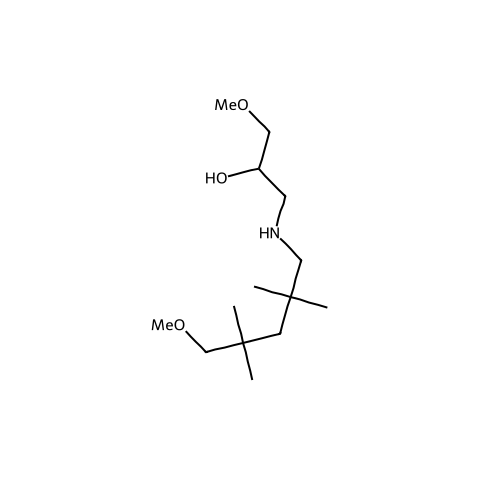 COCC(O)CNCC(C)(C)CC(C)(C)COC